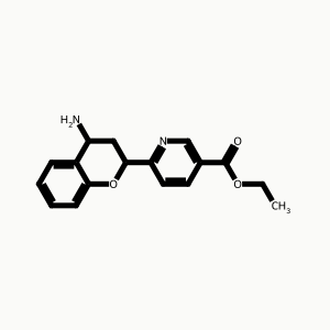 CCOC(=O)c1ccc(C2CC(N)c3ccccc3O2)nc1